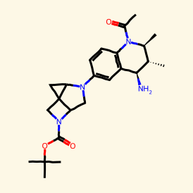 CC(=O)N1c2ccc(N3CC4N(C(=O)OC(C)(C)C)CC45CC35)cc2[C@H](N)[C@@H](C)[C@@H]1C